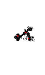 CC(=O)OCC(O)(COC(C)=O)C(O)C(O)Cc1ccc([C@@H]2C(CC[C@H](OC(C)=O)c3ccc(F)cc3)C(=O)N2c2ccc(C#Cc3ncn(C(c4ccccc4)(c4ccccc4)c4ccccc4)n3)cc2)cc1